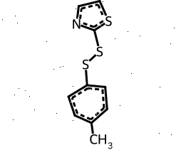 Cc1ccc(SSc2nccs2)cc1